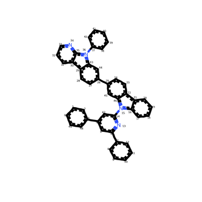 c1ccc(-c2cc(-c3ccccc3)nc(-n3c4ccccc4c4ccc(-c5ccc6c7cccnc7n(-c7ccccc7)c6c5)cc43)c2)cc1